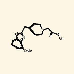 COc1cccc2[nH]c(CC3CCN(CC(=O)NC(C)(C)C)CC3)nc12